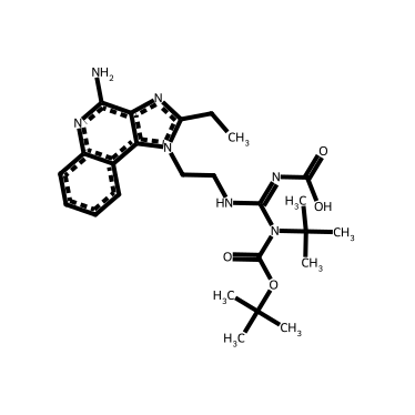 CCc1nc2c(N)nc3ccccc3c2n1CCNC(=NC(=O)O)N(C(=O)OC(C)(C)C)C(C)(C)C